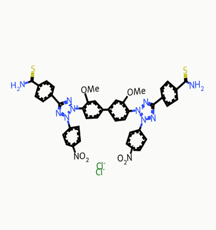 COc1cc(-c2ccc(-[n+]3nc(-c4ccc(C(N)=S)cc4)nn3-c3ccc([N+](=O)[O-])cc3)c(OC)c2)ccc1-[n+]1nc(-c2ccc(C(N)=S)cc2)nn1-c1ccc([N+](=O)[O-])cc1.[Cl-].[Cl-]